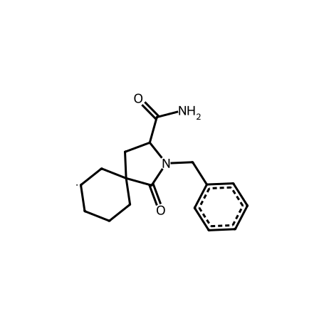 NC(=O)C1CC2(C[CH]CCC2)C(=O)N1Cc1ccccc1